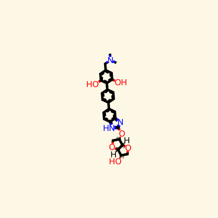 CN(C)Cc1cc(O)c(-c2ccc(-c3ccc4[nH]c(O[C@@H]5CO[C@H]6[C@@H]5OC[C@H]6O)nc4c3)cc2)c(O)c1